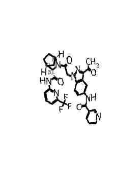 CC(=O)c1nn(CC(=O)N2[C@@H]3CC[C@@H](C3)[C@H]2C(=O)Nc2cccc(C(F)(F)F)n2)c2ccc(NC(=O)c3cccnc3)cc12